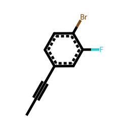 CC#Cc1ccc(Br)c(F)c1